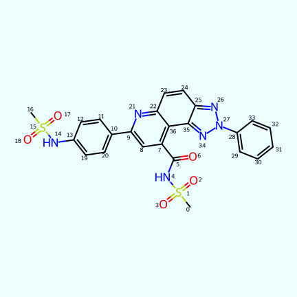 CS(=O)(=O)NC(=O)c1cc(-c2ccc(NS(C)(=O)=O)cc2)nc2ccc3nn(-c4ccccc4)nc3c12